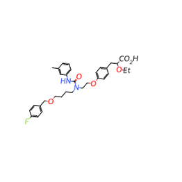 CCOC(Cc1ccc(OCCN(CCCCOCc2ccc(F)cc2)C(=O)Nc2cccc(C)c2)cc1)C(=O)O